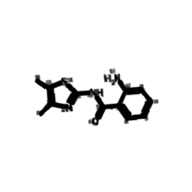 Cc1nc(NC(=O)c2ccccc2N)sc1C